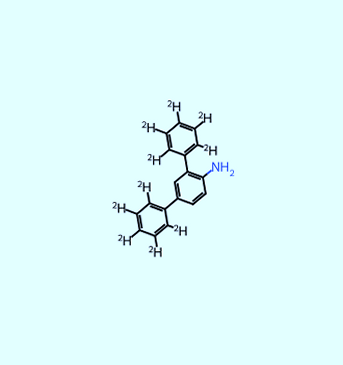 [2H]c1c([2H])c([2H])c(-c2ccc(N)c(-c3c([2H])c([2H])c([2H])c([2H])c3[2H])c2)c([2H])c1[2H]